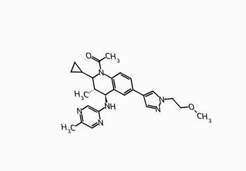 COCCn1cc(-c2ccc3c(c2)[C@@H](Nc2cnc(C)cn2)[C@H](C)C(C2CC2)N3C(C)=O)cn1